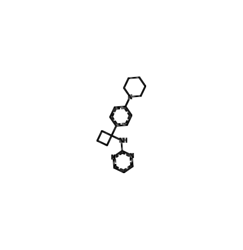 c1cnc(NC2(c3ccc(N4CCCCC4)cc3)CCC2)nc1